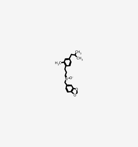 Cc1cc(CC(C)C)ccc1CCC=[N+]([O-])Cc1ccc2c(c1)OCO2